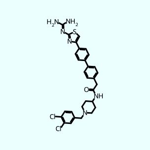 NC(N)=Nc1nc(-c2ccc(-c3ccc(CC(=O)NC4CCN(Cc5ccc(Cl)c(Cl)c5)CC4)cc3)cc2)cs1